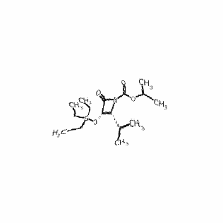 CC[Si](CC)(CC)O[C@@H]1C(=O)N(C(=O)OC(C)C)[C@@H]1C(C)C